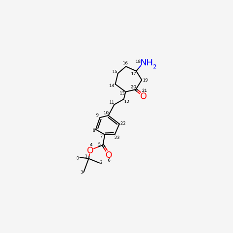 CC(C)(C)OC(=O)c1ccc(CCC2CCCC(N)CC2=O)cc1